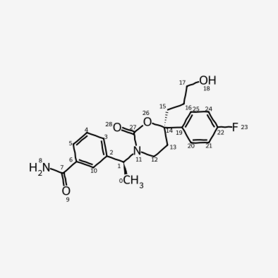 C[C@@H](c1cccc(C(N)=O)c1)N1CC[C@](CCCO)(c2ccc(F)cc2)OC1=O